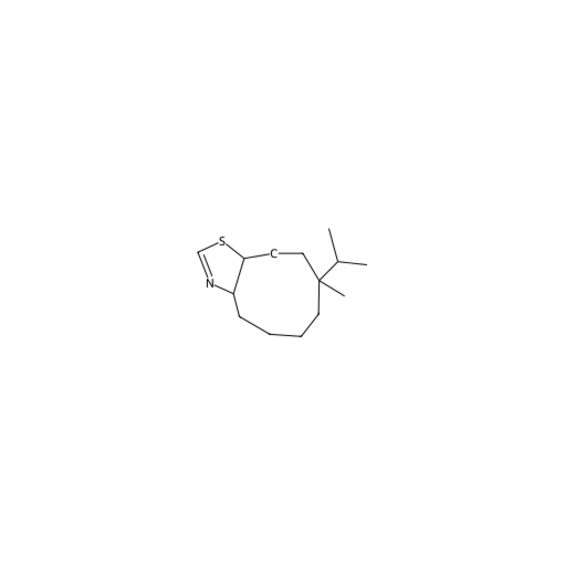 CC(C)C1(C)CCCCC2N=CSC2CC1